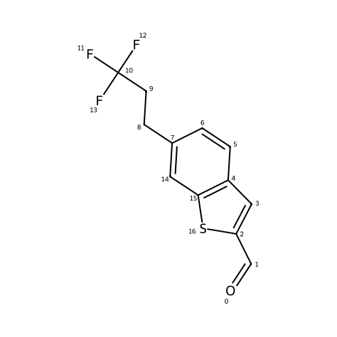 O=Cc1cc2ccc(CCC(F)(F)F)cc2s1